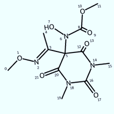 CON=C(C)C1(N(O)C(=O)OC)C(=O)N(C)C(=O)N(C)C1=O